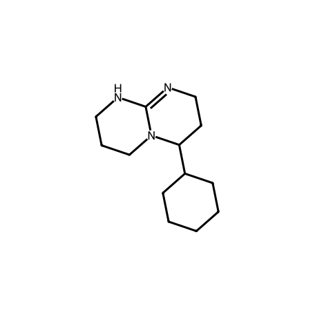 C1CCC(C2CCN=C3NCCCN32)CC1